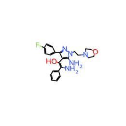 N/C(=C(/O)c1c(-c2ccc(F)cc2)nn(CCN2CCOCC2)c1N)c1ccccc1